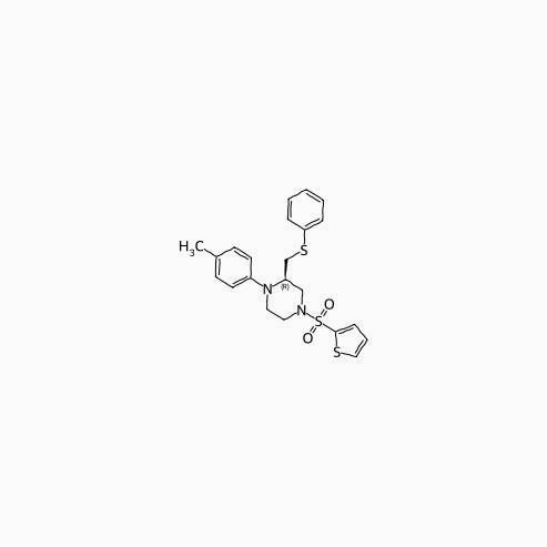 Cc1ccc(N2CCN(S(=O)(=O)c3cccs3)C[C@@H]2CSc2ccccc2)cc1